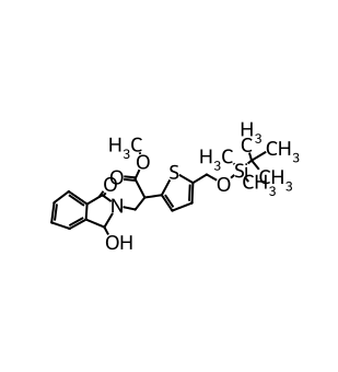 COC(=O)C(CN1C(=O)c2ccccc2C1O)c1ccc(CO[Si](C)(C)C(C)(C)C)s1